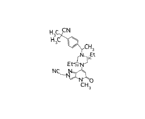 CC[C@H]1CN(C(C)c2ccc(C(C)(C)C#N)cc2)[C@H](CC)CN1c1cc(=O)n(C)c2cn(CC#N)nc12